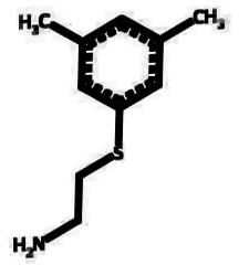 Cc1cc(C)cc(SCCN)c1